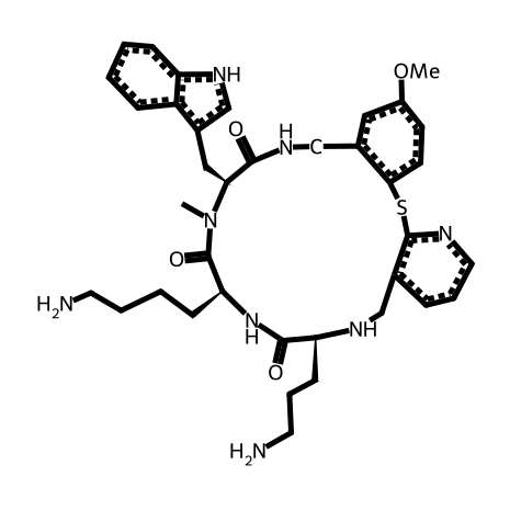 COc1ccc2c(c1)CNC(=O)[C@H](Cc1c[nH]c3ccccc13)N(C)C(=O)[C@H](CCCCN)NC(=O)[C@H](CCCN)NCc1cccnc1S2